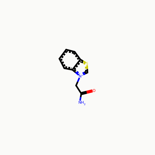 NC(=O)C[n+]1csc2ccccc21